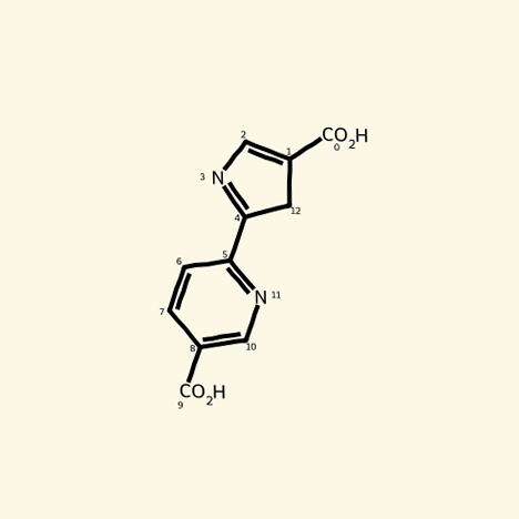 O=C(O)C1=CN=C(c2ccc(C(=O)O)cn2)C1